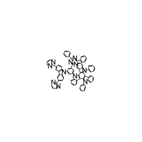 c1ccc(-c2nc(-c3ccccc3)nc(-c3cc(-n4c5ccc(-c6ncccn6)cc5c5cc(-c6ncccn6)ccc54)cc(-n4c5ccccc5c5c6c(c7ccccc7n6-c6ccccc6)c6c(c7ccccc7n6-c6ccccc6)c54)c3)n2)cc1